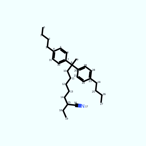 CCCCc1ccc(C(C)(CCCCCC(C#N)CC)c2ccc(CCCC)cc2)cc1